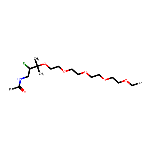 CC(=O)COCCOCCOCCOCCOC(C)(C)C(F)CNC(=O)C(C)C